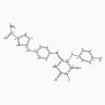 Cn1c(=O)[nH]/c(=N\c2ccc(Oc3nc(C(N)=O)cs3)cc2)n(Cc2ccc(Cl)cc2)c1=O